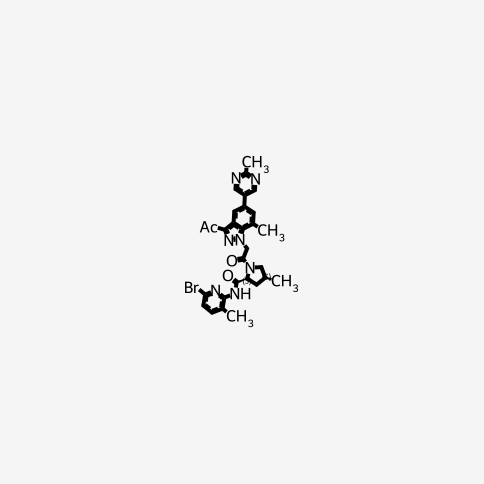 CC(=O)c1nn(CC(=O)N2C[C@@H](C)C[C@H]2C(=O)Nc2nc(Br)ccc2C)c2c(C)cc(-c3cnc(C)nc3)cc12